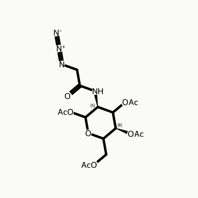 CC(=O)OCC1OC(OC(C)=O)[C@@H](NC(=O)CN=[N+]=[N-])C(OC(C)=O)[C@H]1OC(C)=O